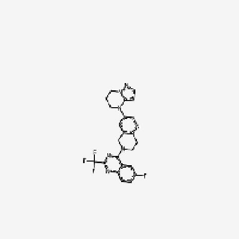 Fc1ccc2nc(C(F)(F)F)nc(N3CCc4ncc(N5CCCn6nccc65)cc4C3)c2c1